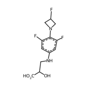 O=C(O)C(O)CNc1cc(F)c(N2CC(F)C2)c(F)c1